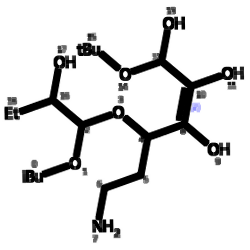 CCC(C)OC(OC(CCN)/C(O)=C(/O)C(O)OC(C)(C)C)C(O)CC